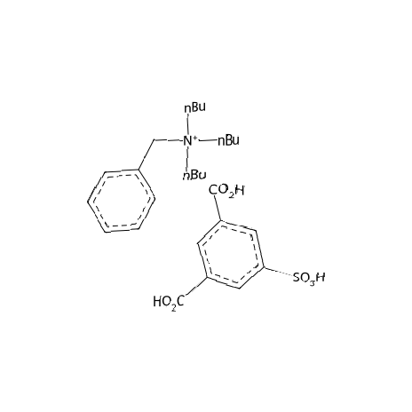 CCCC[N+](CCCC)(CCCC)Cc1ccccc1.O=C(O)c1cc(C(=O)O)cc(S(=O)(=O)O)c1